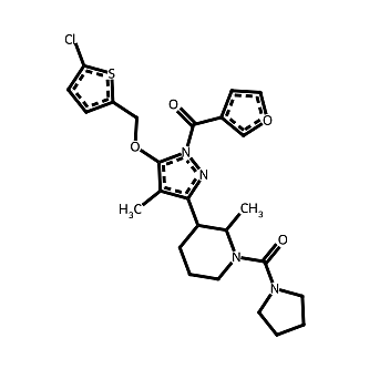 Cc1c(C2CCCN(C(=O)N3CCCC3)C2C)nn(C(=O)c2ccoc2)c1OCc1ccc(Cl)s1